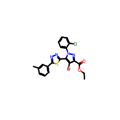 CCOC(=O)c1nn(-c2ccccc2Cl)c(-c2nnc(-c3cccc(C)c3)s2)c1Br